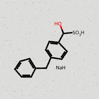 O=S(=O)(O)C(O)c1ccc(Cc2ccccc2)cc1.[NaH]